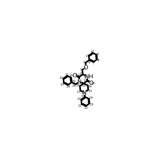 O=C1C(COCc2ccccc2)NC(=O)C2(CCN(c3ccccc3)CC2)N1Cc1ccccc1